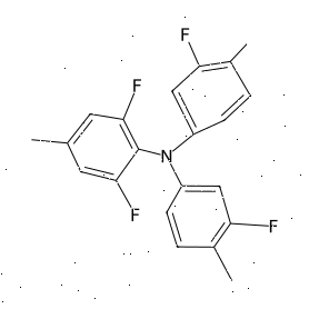 Cc1cc(F)c(N(c2ccc(C)c(F)c2)c2ccc(C)c(F)c2)c(F)c1